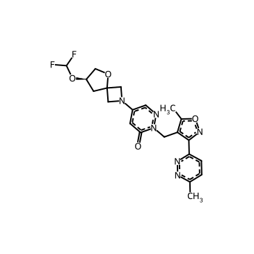 Cc1ccc(-c2noc(C)c2Cn2ncc(N3CC4(C[C@@H](OC(F)F)CO4)C3)cc2=O)nn1